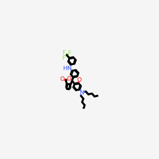 CCCCCN(CCCCC)c1ccc2c(c1)Oc1ccc(Nc3cccc(C(F)(F)F)c3)cc1C21OC(=O)c2ccccc21